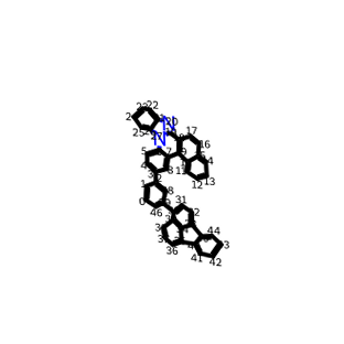 c1cc(-c2ccc3c(c2)c2c4ccccc4ccc2c2nc4ccccc4n32)cc(-c2ccc3c4c(cccc24)-c2ccccc2-3)c1